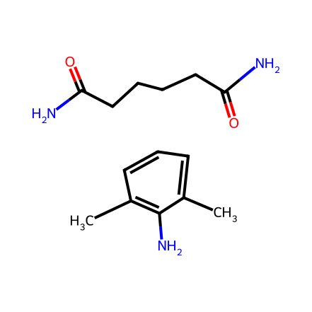 Cc1cccc(C)c1N.NC(=O)CCCCC(N)=O